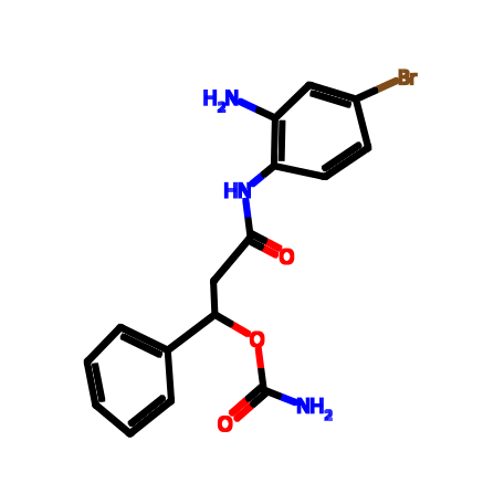 NC(=O)OC(CC(=O)Nc1ccc(Br)cc1N)c1ccccc1